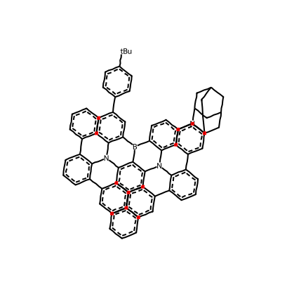 CC(C)(C)c1ccc(-c2ccc3c(c2)B2c4ccc(N5C6CC7CC(C6)CC5C7)cc4N(c4c(-c5ccccc5)cccc4-c4ccccc4)c4cc(-c5ccccc5)cc(c42)N3c2c(-c3ccccc3)cccc2-c2ccccc2)cc1